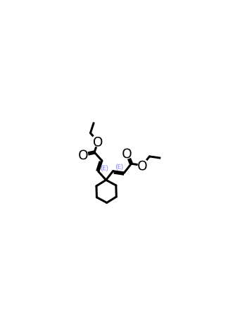 CCOC(=O)/C=C/C1(/C=C/C(=O)OCC)CCCCC1